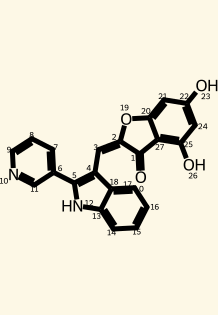 O=C1C(=Cc2c(-c3cccnc3)[nH]c3ccccc23)Oc2cc(O)cc(O)c21